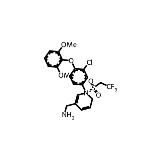 COc1cccc(OC)c1Oc1ccc([N+]2(S(=O)(=O)CC(F)(F)F)C=C(CN)C=CC2)cc1Cl